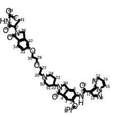 CC(C)Oc1cc2c(cc1NC(=O)c1cnn3cccnc13)CN(C1CCN(CCOCCOc3ccc4c(c3)CN(C3CCC(=O)NC3=O)C4=O)CC1)C2=O